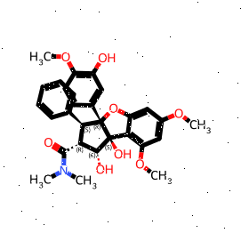 COc1cc(OC)c2c(c1)O[C@@]1(c3ccc(OC)c(O)c3)[C@H](c3ccccc3)[C@@H](C(=O)N(C)C)[C@@H](O)[C@@]21O